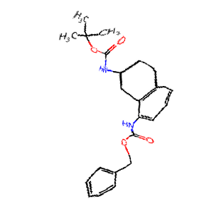 CC(C)(C)OC(=O)NC1CCc2cccc(NC(=O)OCc3ccccc3)c2C1